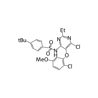 CCc1nc(Cl)c(Oc2cc(OC)ccc2Cl)c(NS(=O)(=O)c2ccc(C(C)(C)C)cc2)n1